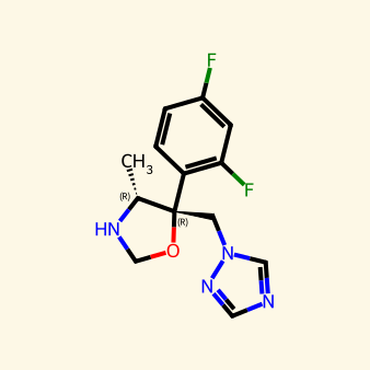 C[C@H]1NCO[C@@]1(Cn1cncn1)c1ccc(F)cc1F